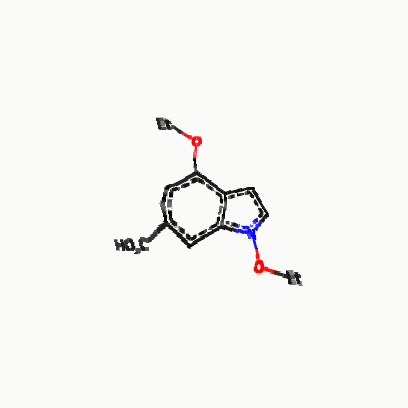 CCOc1cc(C(=O)O)cc2c1ccn2OCC